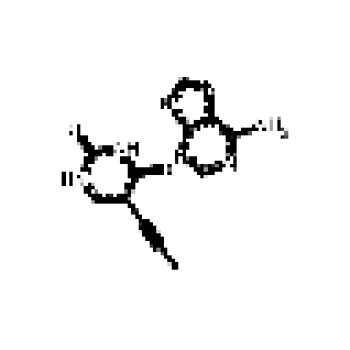 CC#Cc1c[nH]c(=O)[nH]c1=O.Nc1ncnc2nc[nH]c12